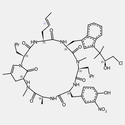 C/C=C/C[C@@H]1NC(=O)[C@H](CC(C)C)N2C=C(C)C[C@@H](C2=O)N(C)C(=O)[C@H](C)NC(=O)[C@H](Cc2ccc(O)c([N+](=O)[O-])c2)NC(=O)[C@H](CC(C)C)N(C)C(=O)[C@H](Cc2cn(C(C)(C)[C@H](O)CCl)c3ccccc23)NC1=O